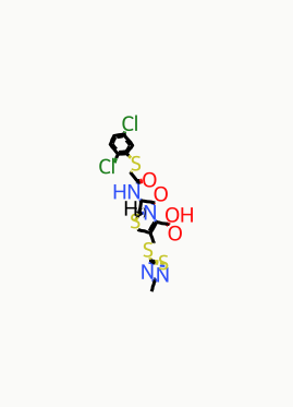 Cc1nsc(SCC2=C(C(=O)O)N3C(=O)C(NC(=O)CSc4cc(Cl)ccc4Cl)[C@@H]3SC2)n1